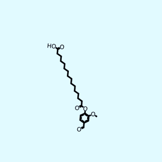 COc1cc(C=O)ccc1OC(=O)CCCCCCCCCCCCCCC(=O)O